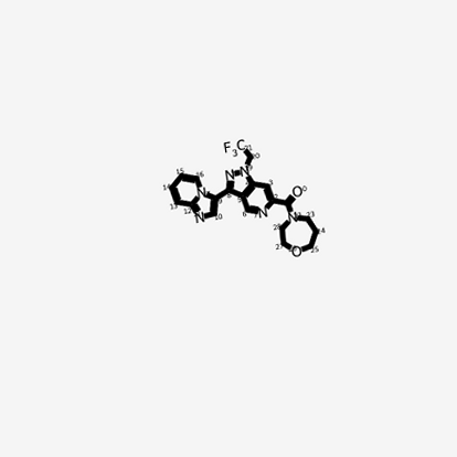 O=C(c1cc2c(cn1)c(-c1cnc3ccccn13)nn2CC(F)(F)F)N1CCCOCC1